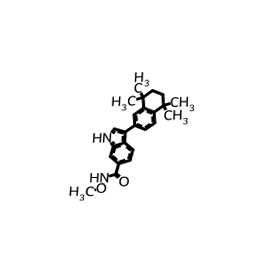 CONC(=O)c1ccc2c(-c3ccc4c(c3)C(C)(C)CCC4(C)C)c[nH]c2c1